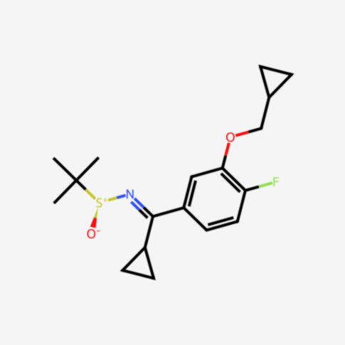 CC(C)(C)[S@+]([O-])/N=C(/c1ccc(F)c(OCC2CC2)c1)C1CC1